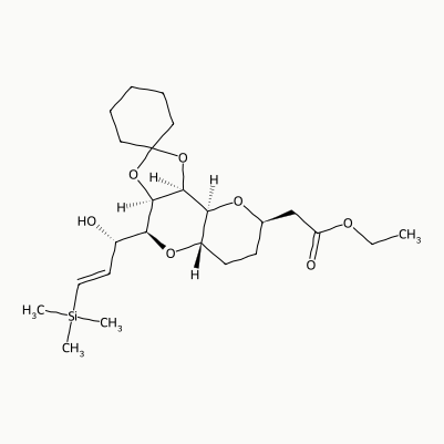 CCOC(=O)C[C@H]1CC[C@@H]2O[C@@H]([C@@H](O)/C=C/[Si](C)(C)C)[C@H]3OC4(CCCCC4)O[C@H]3[C@H]2O1